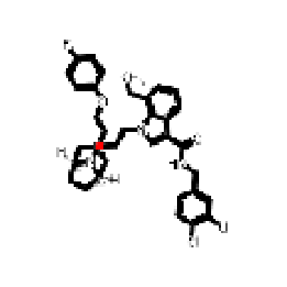 CCc1cccc2c(C(=O)NCc3ccc(Cl)c(Cl)c3)cn(CCCN3[C@@H]4CC[C@H]3CN(CCOc3ccc(F)cc3)C4)c12